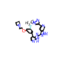 Cn1cc(-c2cc3c(-c4nc5c(-c6cc(F)cc(OCCN7CCCC7)c6)ccnc5[nH]4)n[nH]c3cn2)cn1